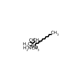 CCCCCCCCCCCC(=O)[N+](C)(C(C)N)C(CC)CC